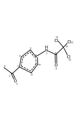 CC(=O)c1ccc(NC(=O)C(Cl)(Cl)Cl)cc1